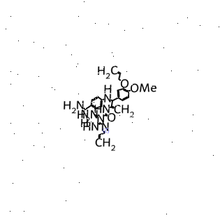 C=C/C=N\C(=N)N(N)C(=O)NC(=C)C(Nc1ccc(C(=N)N)cc1)c1ccc(OC)c(OCC=C)c1